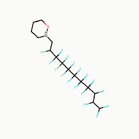 FC(F)C(F)C(F)C(F)(F)C(F)(F)C(F)(F)C(F)(F)C(F)(F)C(F)(F)C(F)C[SiH]1CCCCO1